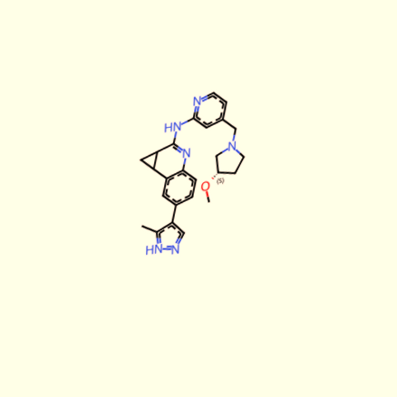 CO[C@H]1CCN(Cc2ccnc(NC3=Nc4ccc(-c5cn[nH]c5C)cc4C4CC34)c2)C1